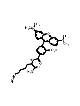 CN(C)c1ccc2c(-c3ccc(C(=O)NC(CCCCN=[N+]=[N-])C(N)=O)cc3C(=O)O)c3ccc(=[N+](C)C)cc-3oc2c1